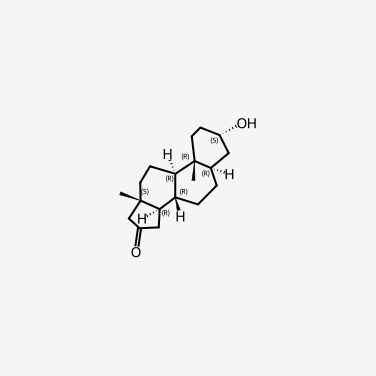 C[C@@]12CC[C@@H]3[C@H](CC[C@@H]4C[C@@H](O)CC[C@]43C)[C@H]1CC(=O)C2